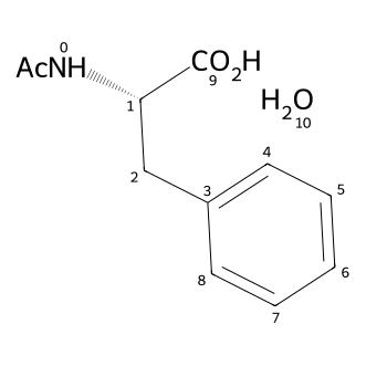 CC(=O)N[C@@H](Cc1ccccc1)C(=O)O.O